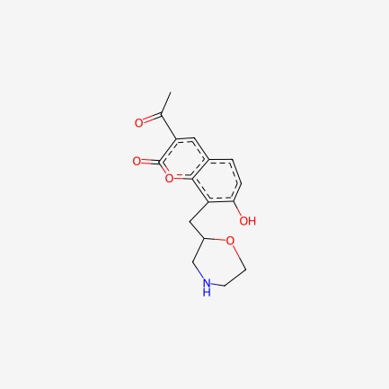 CC(=O)c1cc2ccc(O)c(CC3CNCCO3)c2oc1=O